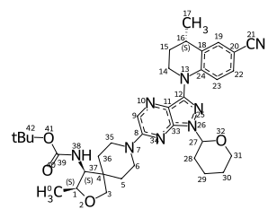 C[C@@H]1OCC2(CCN(c3cnc4c(N5CC[C@H](C)c6cc(C#N)ccc65)nn(C5CCCCO5)c4n3)CC2)[C@@H]1NC(=O)OC(C)(C)C